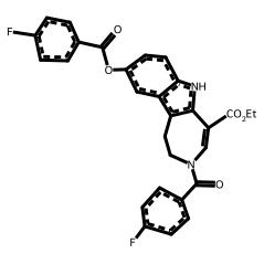 CCOC(=O)C1=CN(C(=O)c2ccc(F)cc2)CCc2c1[nH]c1ccc(OC(=O)c3ccc(F)cc3)cc21